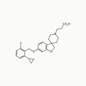 O=C(O)CCN1CCC2(CC1)COc1cc(SCc3c(F)cccc3C3CC3)ccc12